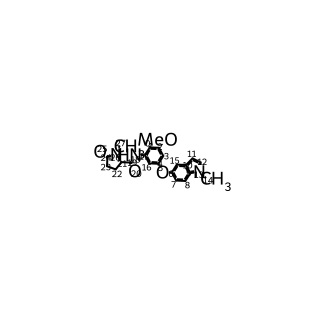 COc1ccc(Oc2ccc3c(ccn3C)c2)cc1NC(=O)C1CCC(=O)N1C